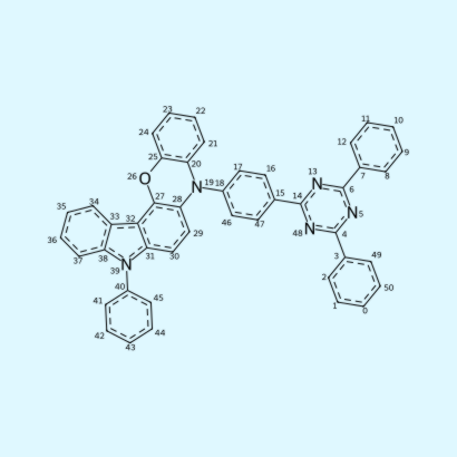 c1ccc(-c2nc(-c3ccccc3)nc(-c3ccc(N4c5ccccc5Oc5c4ccc4c5c5ccccc5n4-c4ccccc4)cc3)n2)cc1